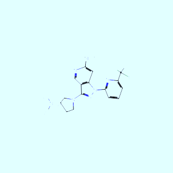 CC(=O)Nc1cc2c(cn1)c(N1CC[C@H](N(C)C)C1)nn2-c1cccc(C(C)(F)F)n1